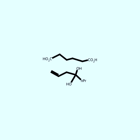 C=CCC(O)(O)CCC.O=C(O)CCCCC(=O)O